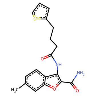 Cc1ccc2c(NC(=O)CCCc3cccs3)c(C(N)=O)oc2c1